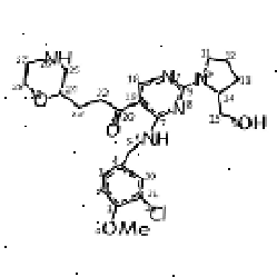 COc1ccc(CNc2nc(N3CCCC3CO)ncc2C(=O)CCC2CNCCO2)cc1Cl